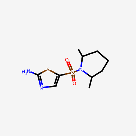 CC1CCCC(C)N1S(=O)(=O)c1cnc(N)s1